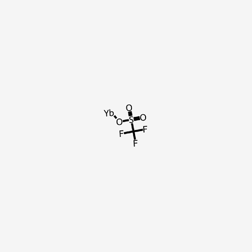 O=S(=O)([O][Yb])C(F)(F)F